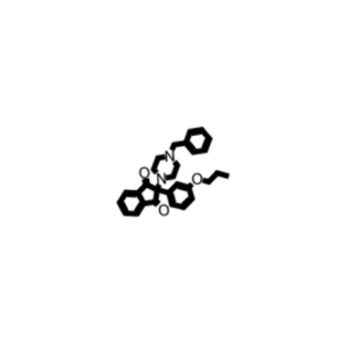 CCCOc1cccc(C2(N3CCN(Cc4ccccc4)CC3)C(=O)c3ccccc3C2=O)c1